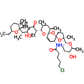 CCC(C(=O)[C@@H](C)[C@@H](O)[C@H](C)[C@]1(C)O[C@@H](CC(=O)O)CC[C@@H]1C)[C@H]1O[C@]2(C=C[C@@H](NC(=O)CCCCCl)[C@]3(CC[C@@](C)([C@H]4CC[C@@H](O)[C@H](C)O4)O3)O2)[C@H](C)C[C@@H]1C